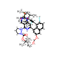 COCOc1cc(-c2nc(N3CCCN3C(=O)OC(C)(C)C)c3cnc(SC)nc3c2F)c2c(C#C[Si](C(C)C)(C(C)C)C(C)C)c(F)ccc2c1